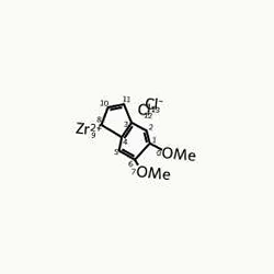 COc1cc2c(cc1OC)[CH]([Zr+2])C=C2.[Cl-].[Cl-]